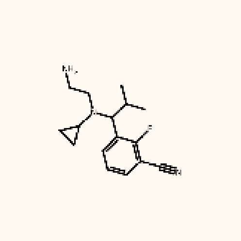 CC(C)C(c1cccc(C#N)c1F)N(CCN)C1CC1